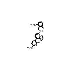 COc1ccc(-c2ccc(NCc3c(F)cccc3OC)n3cnnc23)c(F)n1